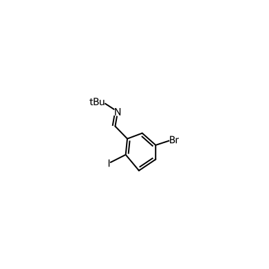 CC(C)(C)N=Cc1cc(Br)ccc1I